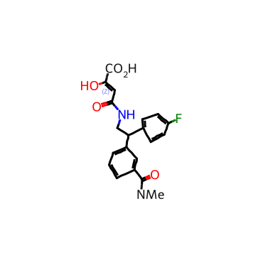 CNC(=O)c1cccc(C(CNC(=O)/C=C(\O)C(=O)O)c2ccc(F)cc2)c1